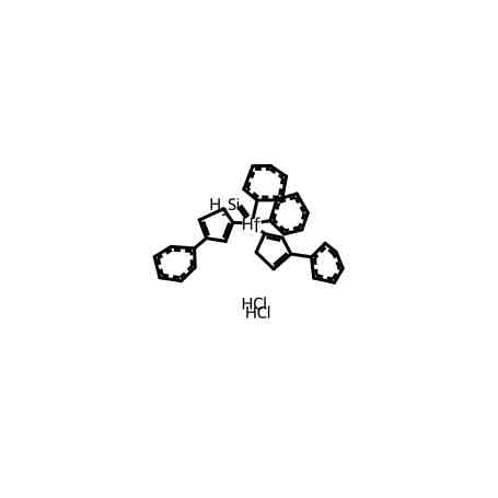 Cl.Cl.[SiH2]=[Hf]([C]1=CC(c2ccccc2)=CC1)([C]1=CC(c2ccccc2)=CC1)([c]1ccccc1)[c]1ccccc1